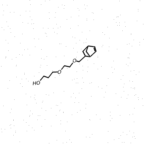 OCCCOCCOCC1CC2C=CC1C2